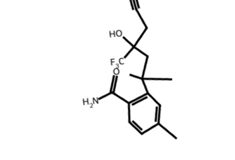 C#CCC(O)(CC(C)(C)c1cc(C)ccc1C(N)=O)C(F)(F)F